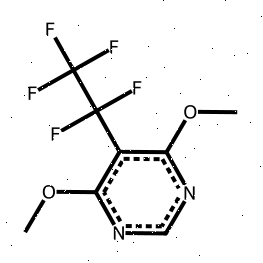 COc1ncnc(OC)c1C(F)(F)C(F)(F)F